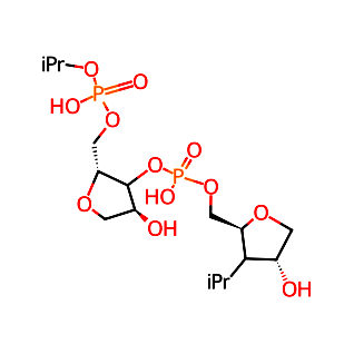 CC(C)OP(=O)(O)OC[C@H]1OC[C@H](O)C1OP(=O)(O)OC[C@H]1OC[C@H](O)C1C(C)C